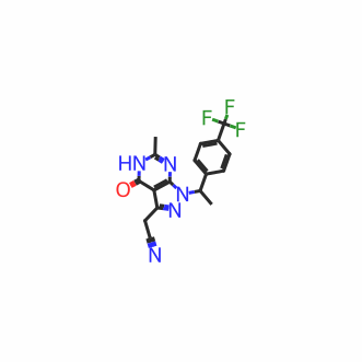 Cc1nc2c(c(CC#N)nn2C(C)c2ccc(C(F)(F)F)cc2)c(=O)[nH]1